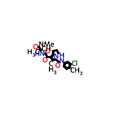 CNC(=O)C(C)(C)NC(=O)C(=O)c1c(C)c(C(=O)Nc2ccc(C)c(Cl)c2)n2c1CCC2